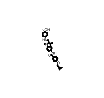 Cc1c(CN[C@H]2CC[C@](C)(O)CC2)n(C)c2ccc(NC(=O)c3ccc(OCC4CC4)cc3)cc12